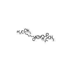 CC(C)CCCCCCC(=O)N1CCN(c2ccc(C(=O)C(C)C)cc2)CC1